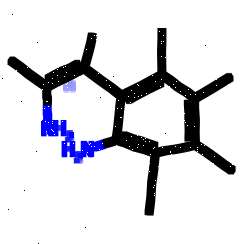 C/C(N)=C(\C)c1c(C)c(C)c(C)c(C)c1N